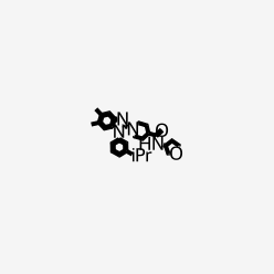 Cc1cc2nc(N3CCC(C(=O)NC4CCOC4)CC3)n(-c3cccc(C(C)C)c3)c2cc1C